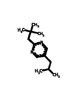 CC(C)Cc1cnc(CC(C)(C)C)nc1